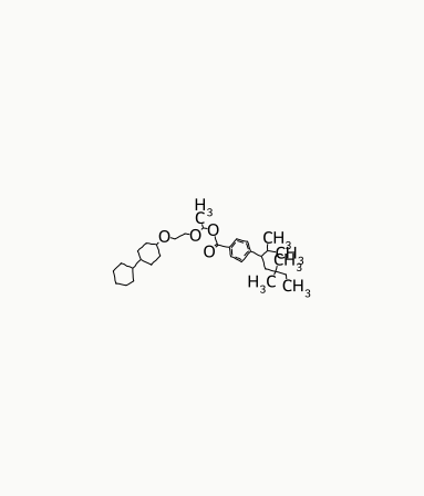 CCC(C)(C)CC(c1ccc(C(=O)OC(C)OCCOC2CCC(C3CCCCC3)CC2)cc1)C(C)C